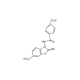 CCOC(=O)c1ccc2c(c1)sc(=N)n2NC(=O)c1ccc(C(=O)O)cc1